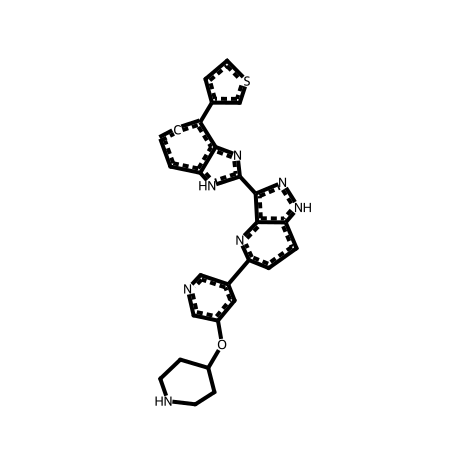 c1cc(-c2ccsc2)c2nc(-c3n[nH]c4ccc(-c5cncc(OC6CCNCC6)c5)nc34)[nH]c2c1